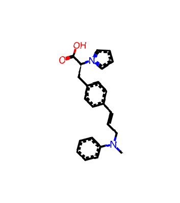 CN(CC=Cc1ccc(C[C@@H](C(=O)O)n2cccc2)cc1)c1ccccc1